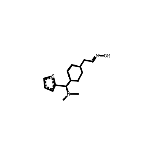 CN(C)C(c1cccs1)C1CCC(C/C=N/O)CC1